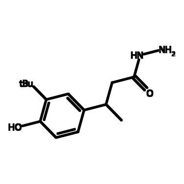 CC(CC(=O)NN)c1ccc(O)c(C(C)(C)C)c1